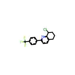 FC(F)(F)c1ccc(-c2ccc3c(n2)C(Cl)CCC3)cc1